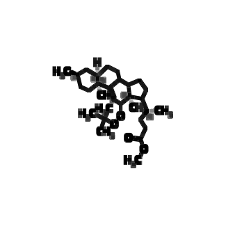 COC(=O)CC[C@@H](C)C1CCC2C3CC[C@@H]4C[C@H](C)CC[C@]4(C)C3=CC(OOC(C)(C)C)[C@@]21C